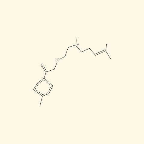 CC(C)=CCC[C@@H](C)CCOCC(=O)c1ccc(C)cc1